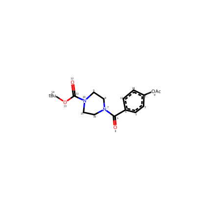 CC(=O)Oc1ccc(C(=O)N2CCN(C(=O)OC(C)(C)C)CC2)cc1